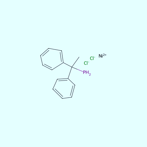 CC(P)(c1ccccc1)c1ccccc1.[Cl-].[Cl-].[Ni+2]